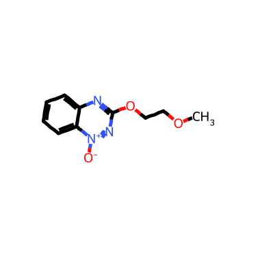 COCCOc1nc2ccccc2[n+]([O-])n1